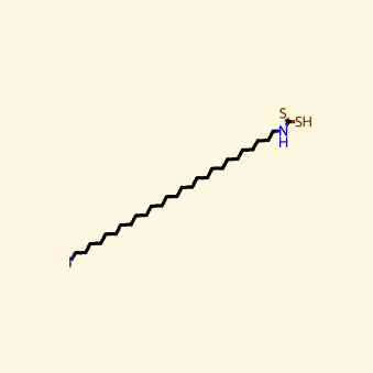 S=C(S)NCCCCCCCCCCCCCCCCCCCCCCCCCCCI